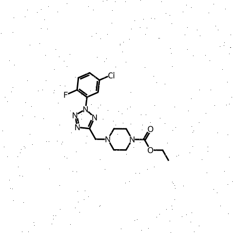 CCOC(=O)N1CCN(Cc2nnn(-c3cc(Cl)ccc3F)n2)CC1